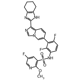 COc1ncc(F)cc1S(=O)(=O)Nc1ccc(F)c(-c2ccc3c(-c4nc5c([nH]4)CCCC5)ncn3c2)c1F